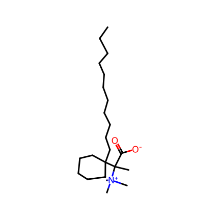 CCCCCCCCCCCC1(C(C)(C(=O)[O-])[N+](C)(C)C)CCCCC1